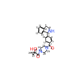 O=C(c1ccc(C2NCCc3ccccc32)cc1)N1CCN(C(=O)C2(O)CC2)CC1